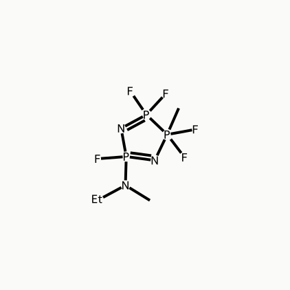 CCN(C)P1(F)=NP(C)(F)(F)P(F)(F)=N1